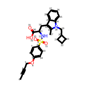 CC#CCOc1ccc(S(=O)(=O)NC(Cc2c(C)n(CC3CCC3)c3ccccc23)C(=O)O)cc1